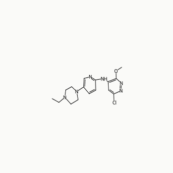 CCN1CCN(c2ccc(Nc3cc(Cl)nnc3OC)nc2)CC1